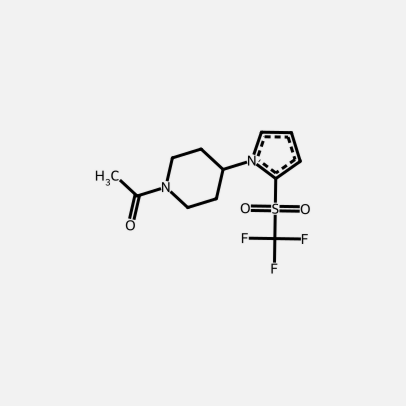 CC(=O)N1CCC(n2cccc2S(=O)(=O)C(F)(F)F)CC1